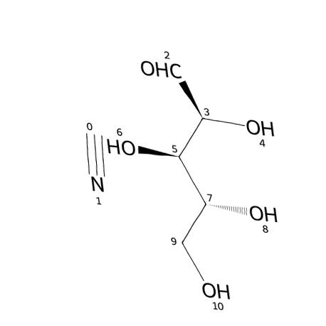 C#N.O=C[C@@H](O)[C@H](O)[C@H](O)CO